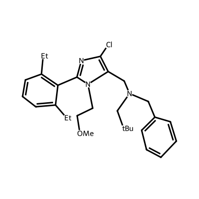 CCc1cccc(CC)c1-c1nc(Cl)c(CN(Cc2ccccc2)CC(C)(C)C)n1CCOC